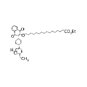 C=C(/C=C\C(Cl)=C/C)[C@H]1CC[C@H](C2=C(OCCCCCCCCCCCCCCCC(=O)OCC)C(=O)c3ccccc3C2=O)CC1